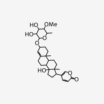 COC1C(C)OC(OC2C=C3CCC4C(CCC5(C)C(c6ccc(=O)oc6)CCC45O)C3(C)CC2)C(O)C1O